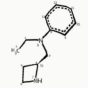 CCN(C[C@@H]1CCN1)c1ccccc1